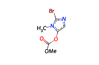 COC(=O)Oc1cnc(Br)n1C